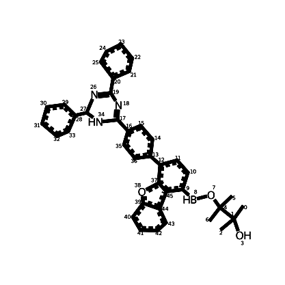 CC(C)(O)C(C)(C)OBc1ccc(-c2ccc(C3=NC(c4ccccc4)=NC(c4ccccc4)N3)cc2)c2oc3ccccc3c12